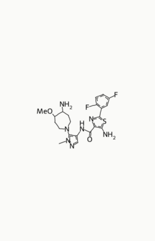 COC1CCN(c2c(NC(=O)c3nc(-c4cc(F)ccc4F)sc3N)cnn2C)CCC1N